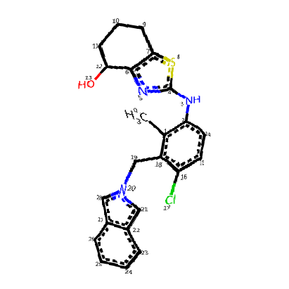 Cc1c(Nc2nc3c(s2)CCCC3O)ccc(Cl)c1Cn1cc2ccccc2c1